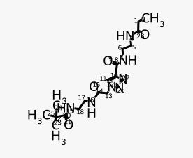 CCC(=O)NCCNC(=O)c1cn(CC(=O)NCCNC(=O)C(C)(C)C)nn1